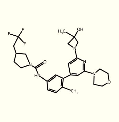 Cc1ccc(NC(=O)N2CCC(CC(F)(F)F)C2)cc1-c1cc(N2CCOCC2)nc(N2CC(C)(O)C2)c1